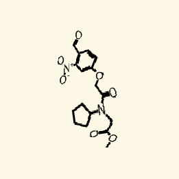 COC(=O)CN(C(=O)COc1ccc(C=O)c([N+](=O)[O-])c1)C1CCCC1